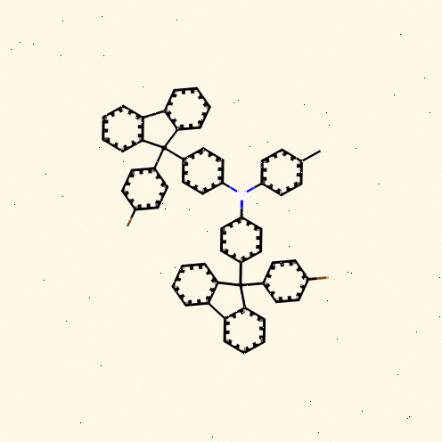 Cc1ccc(N(c2ccc(C3(c4ccc(Br)cc4)c4ccccc4-c4ccccc43)cc2)c2ccc(C3(c4ccc(Br)cc4)c4ccccc4-c4ccccc43)cc2)cc1